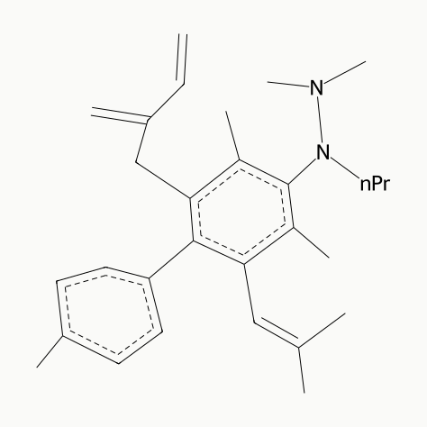 C=CC(=C)Cc1c(C)c(N(CCC)N(C)C)c(C)c(C=C(C)C)c1-c1ccc(C)cc1